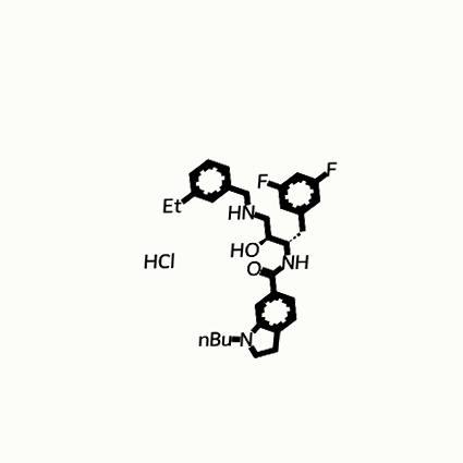 CCCCN1CCc2ccc(C(=O)N[C@@H](Cc3cc(F)cc(F)c3)[C@@H](O)CNCc3cccc(CC)c3)cc21.Cl